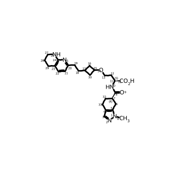 Cn1ncc2c1C[C@H](C(=O)N[C@@H](CCOC1CC(CCc3ccc4c(n3)NCCC4)C1)C(=O)O)CC2